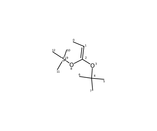 CC=C(OC(C)(C)C)O[Si](C)(C)C